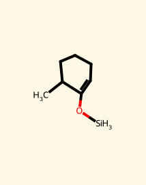 CC1CCCC=C1O[SiH3]